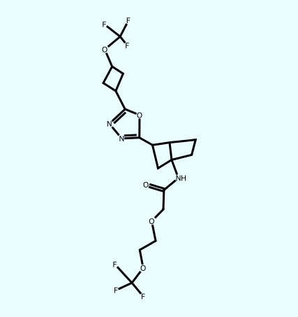 O=C(COCCOC(F)(F)F)NC12CCC1C(c1nnc(C3CC(OC(F)(F)F)C3)o1)C2